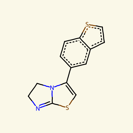 C1=C(c2ccc3sccc3c2)N2CCN=C2S1